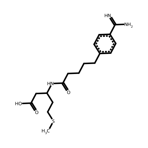 CSCCC(CC(=O)O)NC(=O)CCCCc1ccc(C(=N)N)cc1